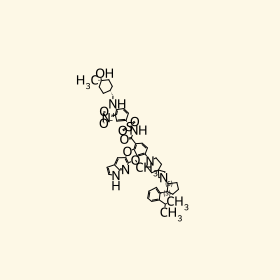 COc1nc2[nH]ccc2cc1Oc1cc(N2CCC3(CC2)CN([C@H]2CCC[C@H]2c2ccccc2C(C)C)C3)ccc1C(=O)NS(=O)(=O)c1ccc(NC[C@H]2CC[C@](C)(O)CC2)c([N+](=O)[O-])c1